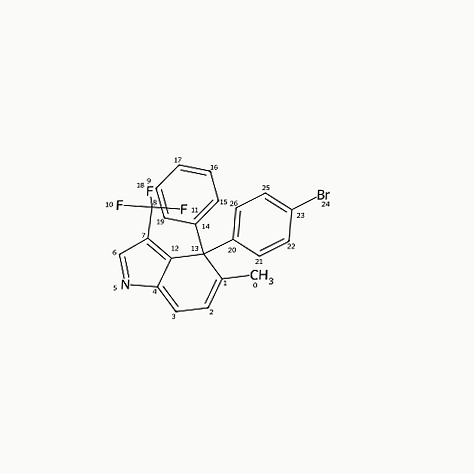 CC1=CC=C2N=CC(C(F)(F)F)=C2C1(c1ccccc1)c1ccc(Br)cc1